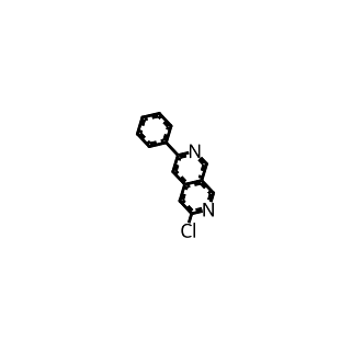 Clc1cc2cc(-c3ccccc3)ncc2cn1